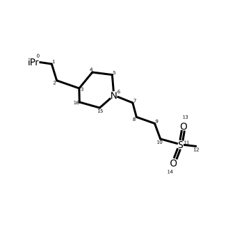 CC(C)CCC1CCN(CCCCS(C)(=O)=O)CC1